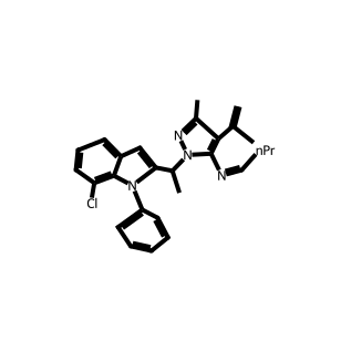 C=C(C)c1c(C)nn(C(C)c2cc3cccc(Cl)c3n2-c2ccccc2)c1/N=C\CCC